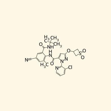 Cc1cc(C#N)cc(C(=O)NC(C)(C)C)c1NC(=O)c1cc(OC2CS(=O)(=O)C2)nn1-c1ncccc1Cl